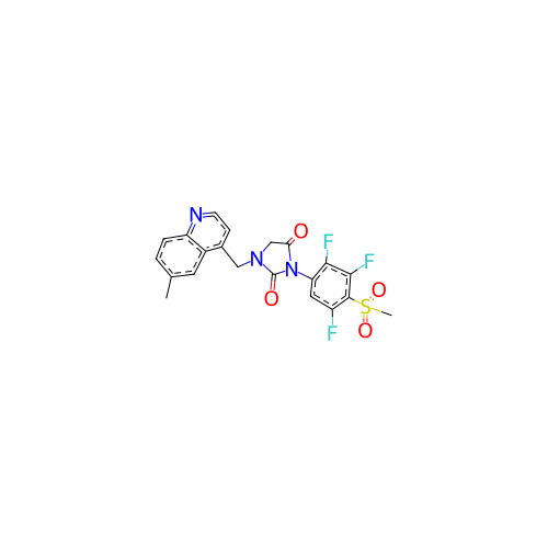 Cc1ccc2nccc(CN3CC(=O)N(c4cc(F)c(S(C)(=O)=O)c(F)c4F)C3=O)c2c1